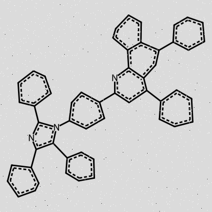 c1ccc(-c2nc(-c3ccccc3)n(-c3ccc(-c4cc(-c5ccccc5)c5cc(-c6ccccc6)c6ccccc6c5n4)cc3)c2-c2ccccc2)cc1